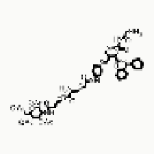 CC(=O)OCC1O[C@@H](OC(C)=O)[C@@H](NC(=O)CCCNC(=O)C(N)CSCC(=O)Nc2ccc(SCC3=C(C(=O)OC(c4ccccc4)c4ccccc4)N4C(=O)C(NC(=O)CN)C4SC3)cc2)C(OC(C)=O)[C@@H]1OC(C)=O